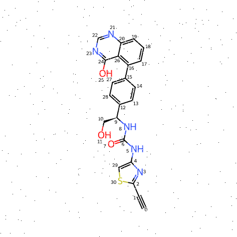 C#Cc1nc(NC(=O)N[C@@H](CO)c2ccc(-c3cccc4ncnc(O)c34)cc2)cs1